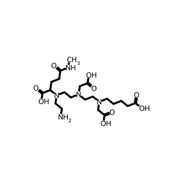 CNC(=O)CCC(C(=O)O)N(CCN)CCN(CCN(CCCCC(=O)O)CC(=O)O)CC(=O)O